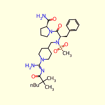 CCCCC(C)(C)C(=O)N=C(N)N1CCC(CN([C@H](Cc2ccccc2)C(=O)N2CCC[C@H]2C(N)=O)S(C)(=O)=O)CC1